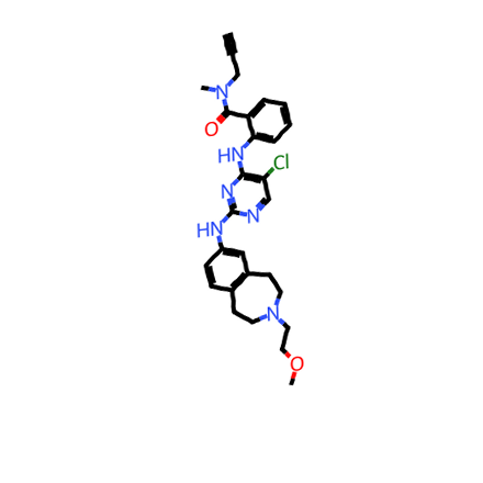 C#CCN(C)C(=O)c1ccccc1Nc1nc(Nc2ccc3c(c2)CCN(CCOC)CC3)ncc1Cl